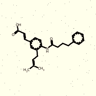 CC(C)=CCc1cc(/C=C/C(=O)O)ccc1NC(=O)CCCc1ccccc1